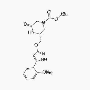 COc1ccccc1-c1cc(OC[C@H]2CN(C(=O)OC(C)(C)C)CC(=O)N2)n[nH]1